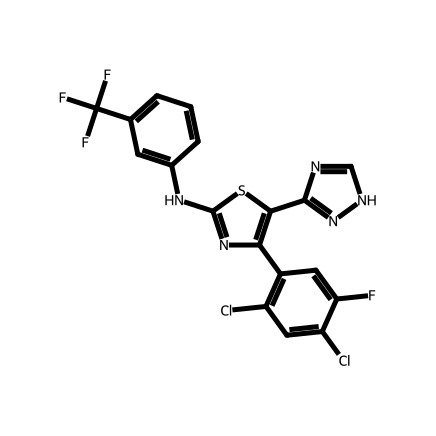 Fc1cc(-c2nc(Nc3cccc(C(F)(F)F)c3)sc2-c2nc[nH]n2)c(Cl)cc1Cl